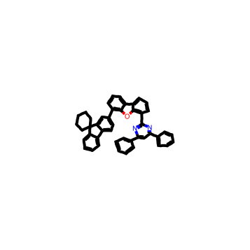 c1ccc(-c2cc(-c3ccccc3)nc(-c3cccc4c3oc3c(-c5ccc6c(c5)C5(CCCCC5)c5ccccc5-6)cccc34)n2)cc1